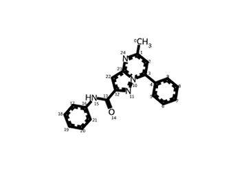 Cc1cc(-c2ccccc2)n2nc(C(=O)Nc3ccccc3)cc2n1